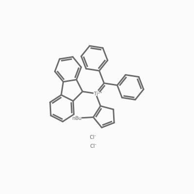 CCCCC1=[C]([Ti+2](=[C](c2ccccc2)c2ccccc2)[CH]2c3ccccc3-c3ccccc32)CC=C1.[Cl-].[Cl-]